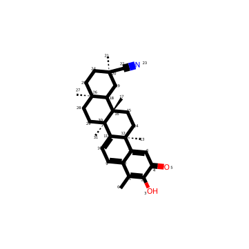 CC1=C(O)C(=O)C=C2C1=CC=C1[C@@]2(C)CC[C@@]2(C)C3C[C@](C)(C#N)CC[C@]3(C)CC[C@]12C